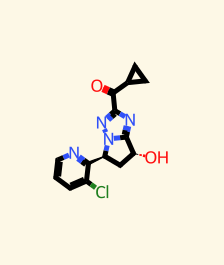 O=C(c1nc2n(n1)[C@H](c1ncccc1Cl)C[C@H]2O)C1CC1